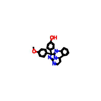 COc1ccc(C2(c3ccc(O)cc3)N=C3N=CC=C4c5ccccc5N=C2N43)cc1